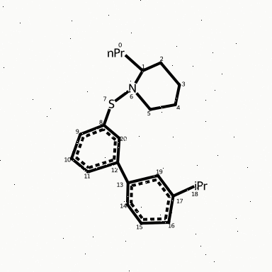 CCCC1CCCCN1Sc1cccc(-c2cccc(C(C)C)c2)c1